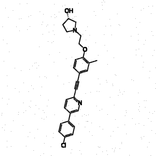 Cc1cc(C#Cc2ccc(-c3ccc(Cl)cc3)cn2)ccc1OCCN1CC[C@H](O)C1